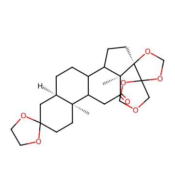 C[C@]12C(=O)CC3C(CC[C@@H]4CC5(CC[C@]34C)OCCO5)C1CC[C@@]21OCOC12COCO2